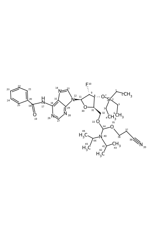 CC[Si](CC)(CC)O[C@H]1[C@@H](F)[C@H](n2cnc3c(NC(=O)c4ccccc4)ncnc32)O[C@@H]1COC(OCCC#N)N(C(C)C)C(C)C